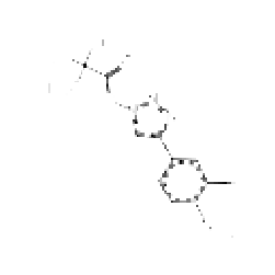 CCC(C)(C)C(=O)On1cc(-c2ccc(N)c(F)c2)nn1